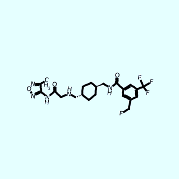 Cc1nonc1NC(=O)CNC[C@H]1CC[C@H](CNC(=O)c2cc(CF)cc(C(F)(F)F)c2)CC1